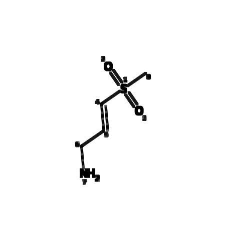 CS(=O)(=O)C=CCN